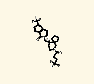 O=C(CCC(F)(F)F)N1CCC(O)(Cn2ccc3cc(C(F)(F)F)ccc3c2=O)C2(CCCC2)C1